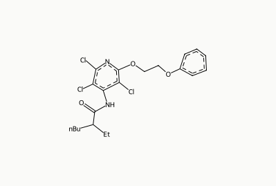 CCCCC(CC)C(=O)Nc1c(Cl)c(Cl)nc(OCCOc2ccccc2)c1Cl